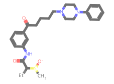 CCC(C(=O)Nc1cccc(C(=O)CCCCN2CCN(c3ccccc3)CC2)c1)[S+](C)[O-]